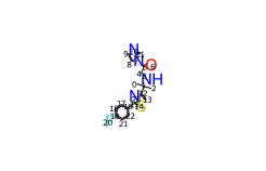 CC(C)(NCC(=O)n1ccnc1)c1csc(-c2ccc(F)cc2)n1